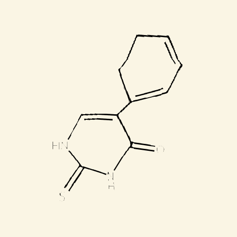 O=c1[nH]c(=S)[nH]cc1C1=CC=CCC1